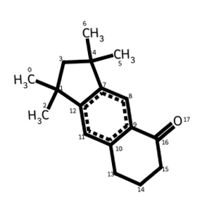 CC1(C)CC(C)(C)c2cc3c(cc21)CCCC3=O